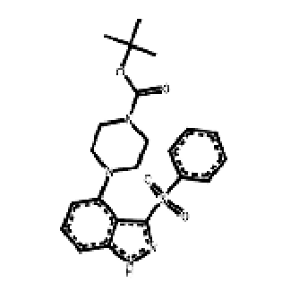 CC(C)(C)OC(=O)N1CCN(c2cccc3[nH]nc(S(=O)(=O)c4ccccc4)c23)CC1